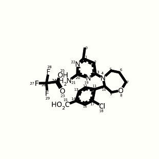 Cc1cc(N2CCCOCC2c2ccc(C(=O)O)cc2Cl)nc(N)n1.O=C(O)C(F)(F)F